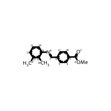 COC(=O)c1ccc(/C=N/c2cccc(C)c2C)cc1